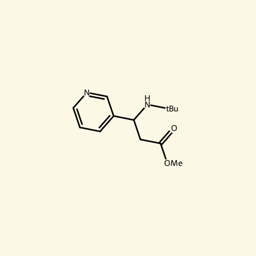 COC(=O)CC(NC(C)(C)C)c1cccnc1